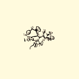 Cn1oc(=O)c2c1NC1=C(C(=O)COC1)C2c1ccc2nonc2c1